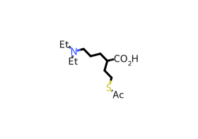 CCN(CC)CCCC(CCSC(C)=O)C(=O)O